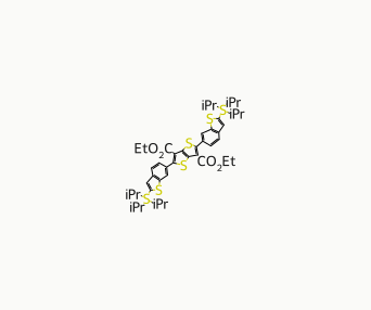 CCOC(=O)c1c(-c2ccc3cc(S(C(C)C)(C(C)C)C(C)C)sc3c2)sc2c(C(=O)OCC)c(-c3ccc4cc(S(C(C)C)(C(C)C)C(C)C)sc4c3)sc12